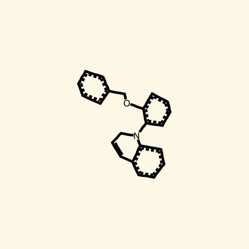 C1=Cc2ccccc2N(c2ccccc2OCc2ccccc2)C1